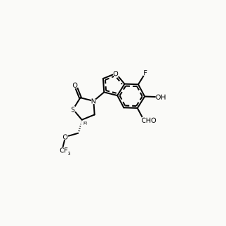 O=Cc1cc2c(N3C[C@H](COC(F)(F)F)SC3=O)coc2c(F)c1O